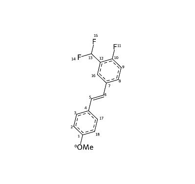 COc1ccc(C=Cc2ccc(F)c(C(F)F)c2)cc1